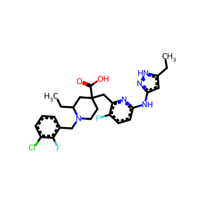 CCc1cc(Nc2ccc(F)c(CC3(C(=O)O)CCN(Cc4cccc(Cl)c4F)C(CC)C3)n2)n[nH]1